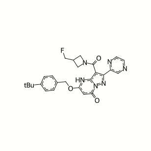 CC(C)(C)c1ccc(COc2cc(=O)n3nc(-c4cnccn4)c(C(=O)N4CC(CF)C4)c3[nH]2)cc1